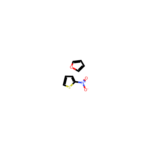 O=[N+]([O-])c1cccs1.c1ccoc1